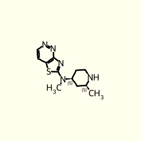 C[C@H]1C[C@@H](N(C)c2nc3nnccc3s2)CCN1